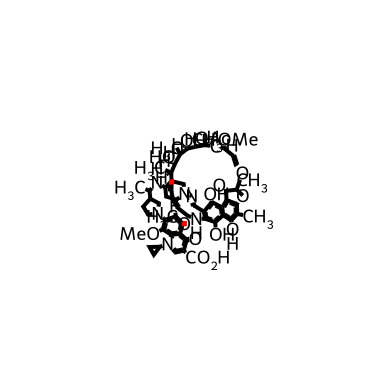 COc1c(N2CCC(C(C)NC3CCN(/N=C/c4c5c(O)c6c(O)c(C)c7c(c6c4O)C(=O)[C@@](C)(O/C=C/[C@H](OC)C[C@@H](OC(C)=O)[C@H](C)[C@H](O)[C@H](C)[C@@H](O)[C@@H](C)/C=C/C=C(/C)C(=O)N5)O7)CC3)C2)c(F)cc2c(=O)c(C(=O)O)cn(C3CC3)c12